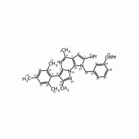 CCCc1cc2c(C)nc3c(-c4c(C)cc(C)cc4C)c(C)nn3c2n1Cc1cccc(OC)c1